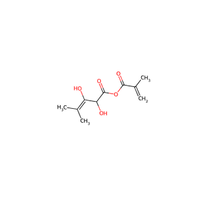 C=C(C)C(=O)OC(=O)C(O)C(O)=C(C)C